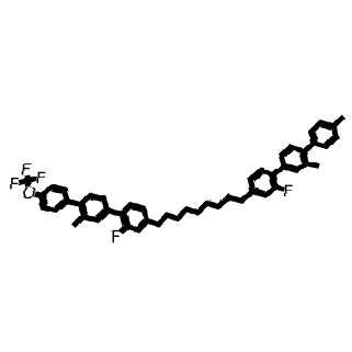 Cc1ccc(-c2ccc(-c3ccc(CCCCCCCCCc4ccc(-c5ccc(-c6ccc(OC(F)(F)F)cc6)c(C)c5)c(F)c4)cc3F)cc2C)cc1